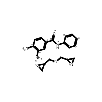 C(OCC1CO1)C1CO1.Nc1ccc(C(=O)Nc2ccccc2)cc1N